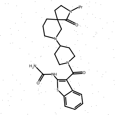 CC(C)N1CCC2(CCCN(C3CCN(C(=O)c4c(NC(N)=O)sc5ccccc45)CC3)C2)C1=O